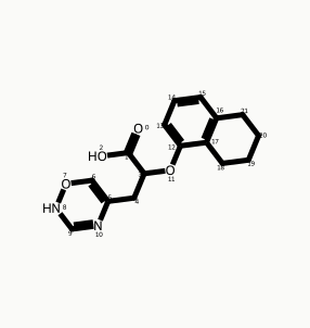 O=C(O)C(CC1=CONC=N1)Oc1cccc2c1CCCC2